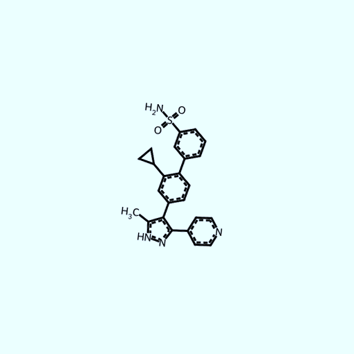 Cc1[nH]nc(-c2ccncc2)c1-c1ccc(-c2cccc(S(N)(=O)=O)c2)c(C2CC2)c1